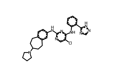 Clc1cnc(Nc2ccc3c(c2)CCC(N2CCCC2)CC3)nc1Nc1ccccc1-c1ncn[nH]1